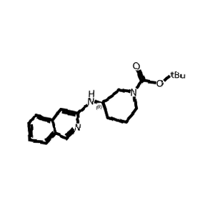 CC(C)(C)OC(=O)N1CCC[C@@H](Nc2cc3ccccc3cn2)C1